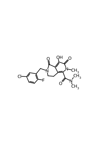 CN(C)C(=O)c1c2c(c(O)c(=O)n1C)C(=O)N(Cc1cc(Cl)ccc1F)CC2